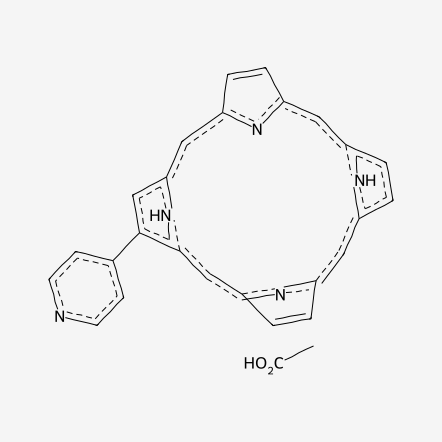 C1=Cc2cc3cc(-c4ccncc4)c(cc4nc(cc5ccc(cc1n2)[nH]5)C=C4)[nH]3.CC(=O)O